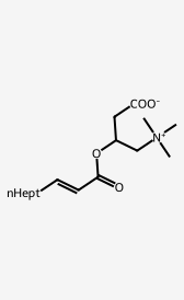 CCCCCCCC=CC(=O)OC(CC(=O)[O-])C[N+](C)(C)C